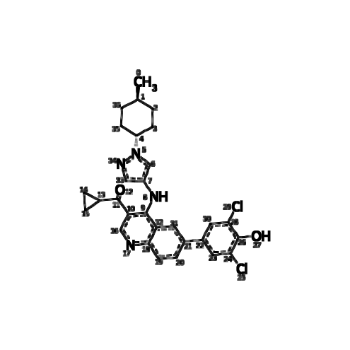 C[C@H]1CC[C@H](n2cc(Nc3c(C(=O)C4CC4)cnc4ccc(-c5cc(Cl)c(O)c(Cl)c5)cc34)cn2)CC1